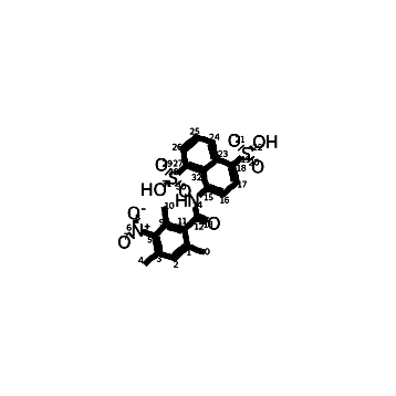 Cc1cc(C)c([N+](=O)[O-])c(C)c1C(=O)Nc1ccc(S(=O)(=O)O)c2cccc(S(=O)(=O)O)c12